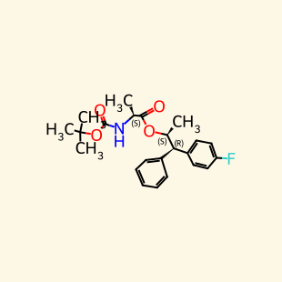 C[C@H](NC(=O)OC(C)(C)C)C(=O)O[C@@H](C)[C@H](c1ccccc1)c1ccc(F)cc1